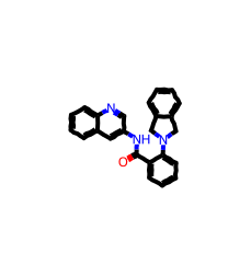 O=C(Nc1cnc2ccccc2c1)c1ccccc1N1Cc2ccccc2C1